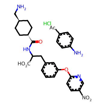 CC(=O)c1ccc(N)cc1.Cl.NC[C@H]1CC[C@H](C(=O)NC(Cc2cccc(Oc3ccc([N+](=O)[O-])cn3)c2)C(=O)O)CC1